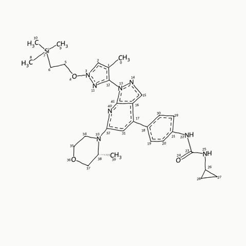 Cc1cn(OCC[Si](C)(C)C)nc1-n1ncc2c(-c3ccc(NC(=O)NC4CC4)cc3)cc(N3CCOC[C@H]3C)nc21